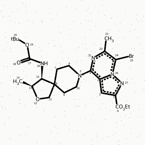 CCOC(=O)c1cc2c(N3CCC4(CC3)CO[C@@H](C)[C@H]4NC(=O)OC(C)(C)C)nc(C)c(Br)n2n1